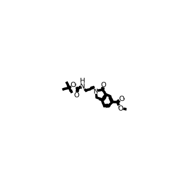 COC(=O)c1ccc2c(c1)C(=O)N(CCNC(=O)OC(C)(C)C)C2